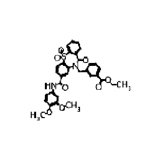 CCOC(=O)c1cccc(CN2C(=O)c3ccccc3S(=O)(=O)c3ccc(C(=O)Nc4ccc(OC)c(OC)c4)cc32)c1